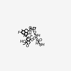 CCc1c([C@](O)(C=O)CC)cc(-c2cc3c4c(c(C)c(F)cc4n2)CCC3NC(=O)C2(COCNC(=O)CNC(=O)CNC)CCC2)n(CC)c1=O